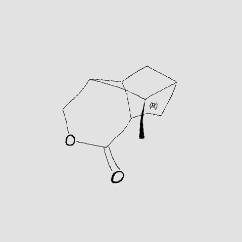 C[C@@H]1C2CC3C(=O)OCC1C3C2